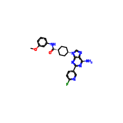 COc1cccc(NC(=O)[C@H]2CC[C@@H](n3cnc4c(N)nc(-c5ccc(F)nc5)nc43)CC2)c1